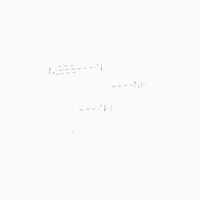 N#C/N=C(/N)N[C]=O